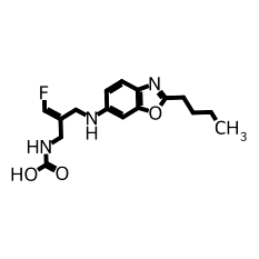 CCCCc1nc2ccc(NC/C(=C\F)CNC(=O)O)cc2o1